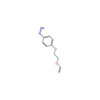 C=COCCOc1ccc(N=N)cc1